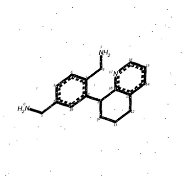 NCc1ccc(CN)c(C2CCCc3cccnc32)c1